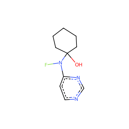 OC1(N(F)c2ccncn2)CCCCC1